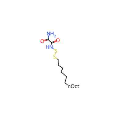 CCCCCCCCCCCCCCSSNC(=O)C(N)=O